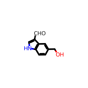 O=Cc1c[nH]c2ccc(CO)cc12